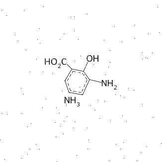 N.Nc1cccc(C(=O)O)c1O